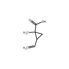 C=CC1CC1(C)C(=O)O